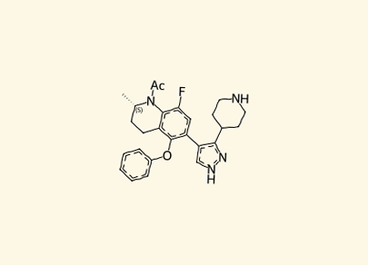 CC(=O)N1c2c(F)cc(-c3c[nH]nc3C3CCNCC3)c(Oc3ccccc3)c2CC[C@@H]1C